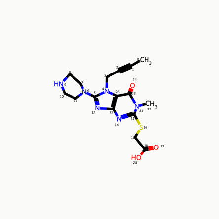 CC#CCn1c(N2CCNCC2)nc2nc(SCC(=O)O)n(C)c(=O)c21